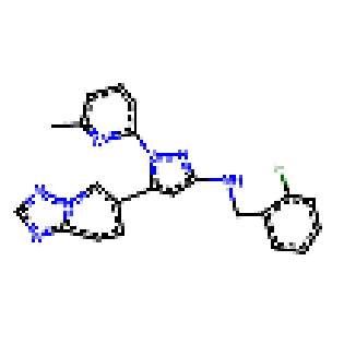 Cc1cccc(-n2nc(NCc3ccccc3F)cc2-c2ccc3ncnn3c2)n1